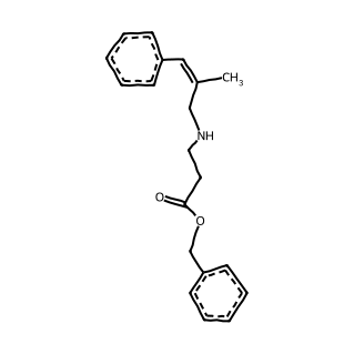 CC(=Cc1ccccc1)CNCCC(=O)OCc1ccccc1